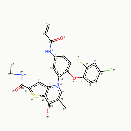 C=CC(=O)Nc1ccc(Oc2ccc(F)cc2F)c(-n2cc(C)c(=O)c3sc(C(=O)NCC)cc32)c1